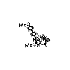 COc1ccc(-c2ccc(-c3nc4c(OC)cccc4n3C[C@@H]3CCN(C(=O)C4CC4)C3)cc2)cc1